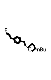 CCCC[C@H]1CC[C@H](CCc2ccc(CC=CF)cc2)CC1